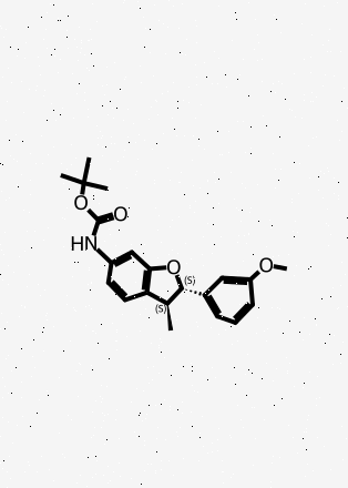 COc1cccc([C@H]2Oc3cc(NC(=O)OC(C)(C)C)ccc3[C@@H]2C)c1